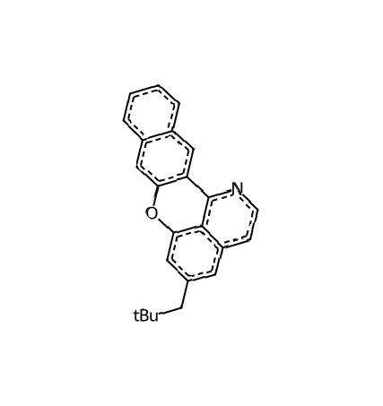 CC(C)(C)Cc1cc2c3c(nccc3c1)-c1cc3ccccc3cc1O2